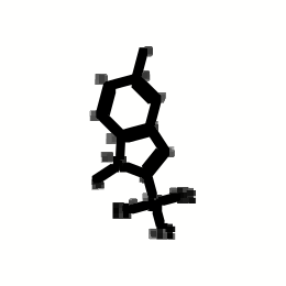 CC[Si](CC)(CC)c1cc2cc(C)ccc2n1C